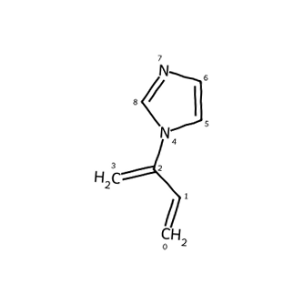 C=CC(=C)n1ccnc1